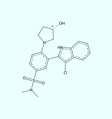 CN(C)S(=O)(=O)c1ccc(N2CC[C@H](O)C2)c(-c2[nH]c3ccccc3c2Cl)c1